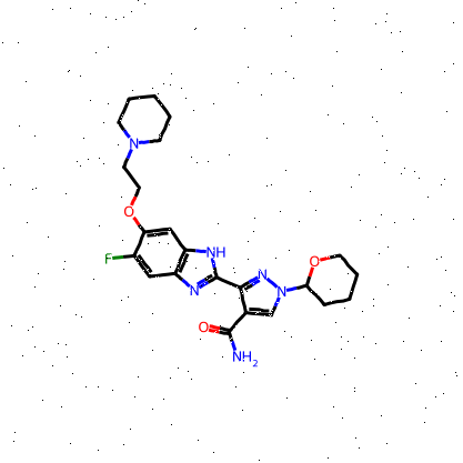 NC(=O)c1cn(C2CCCCO2)nc1-c1nc2cc(F)c(OCCN3CCCCC3)cc2[nH]1